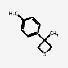 Cc1[c]cc(C2(C)CSC2)cc1